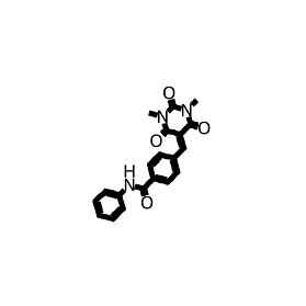 CN1C(=O)C(=Cc2ccc(C(=O)Nc3ccccc3)cc2)C(=O)N(C)C1=O